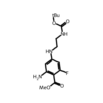 COC(=O)c1c(N)cc(NCCNC(=O)OC(C)(C)C)cc1F